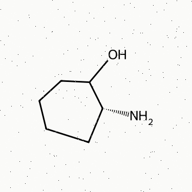 N[C@@H]1CCCCC1O